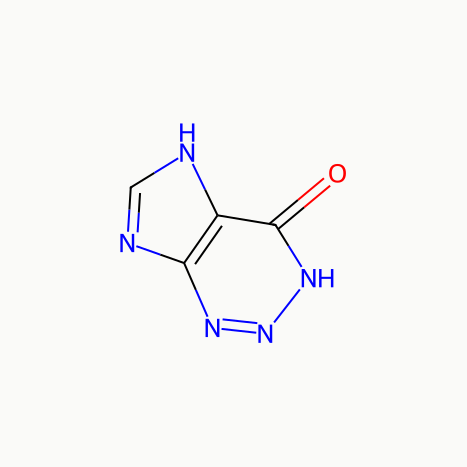 O=c1[nH]nnc2nc[nH]c12